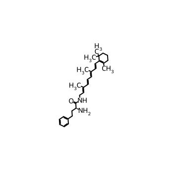 CC1=C(/C=C/C(C)=C/C=C/C(C)=C/CNC(=O)[C@@H](N)CCc2ccccc2)C(C)(C)CCC1